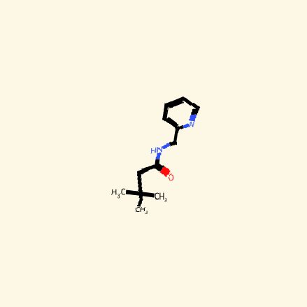 CC(C)(C)CC(=O)NCc1ccccn1